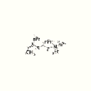 C/C=C(/CCC)SCC[N+](CC)(CCC)CCC